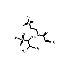 C=CC(=O)OCCS(=O)(=O)O.CC(C)C(N)S(=O)(=O)O